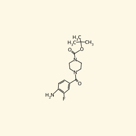 CC(C)(C)OC(=O)N1CCN(C(=O)c2ccc(N)c(F)c2)CC1